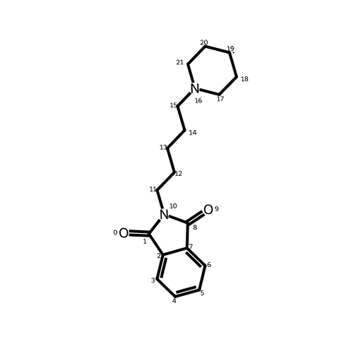 O=C1c2ccccc2C(=O)N1CCCCCN1CC[CH]CC1